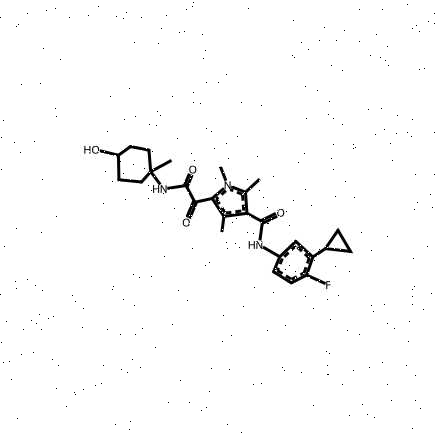 Cc1c(C(=O)Nc2ccc(F)c(C3CC3)c2)c(C)n(C)c1C(=O)C(=O)NC1(C)CCC(O)CC1